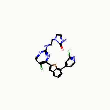 O=C1NCCN1CCNc1ncc(Cl)c(-c2cc3cccc(-c4ccnc(Cl)c4)c3s2)n1